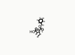 CC(C(=O)O)[C@](C)(CI)NC(=O)OCc1ccccc1